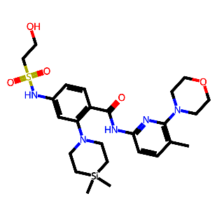 Cc1ccc(NC(=O)c2ccc(NS(=O)(=O)CCO)cc2N2CC[Si](C)(C)CC2)nc1N1CCOCC1